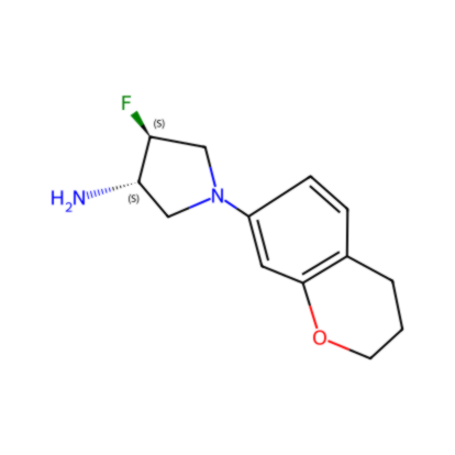 N[C@H]1CN(c2ccc3c(c2)OCCC3)C[C@@H]1F